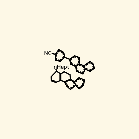 CCCCCCCC1CC=CC2=C1CCc1c2ccc2ccccc12.N#Cc1ccc(-c2ccc3c(ccc4ccccc43)c2)cc1